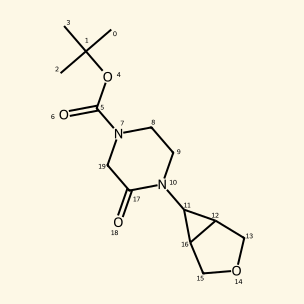 CC(C)(C)OC(=O)N1CCN(C2C3COCC32)C(=O)C1